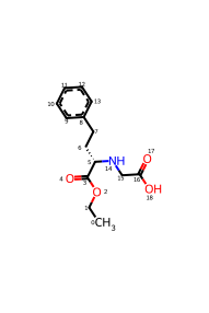 CCOC(=O)[C@H](CCc1ccccc1)NCC(=O)O